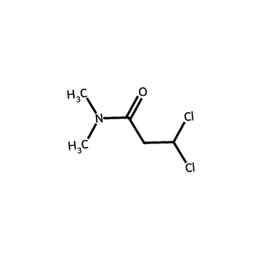 CN(C)C(=O)CC(Cl)Cl